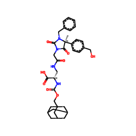 C[C@]1(c2ccc(CO)cc2)C(=O)N(CC(=O)NC[C@H](NC(=O)OCC23CC4CC(CC(C4)C2)C3)C(=O)O)C(=O)N1Cc1ccccc1